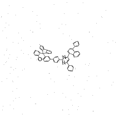 c1ccc(-c2cc(-c3ccc(-c4ccccc4)c4ccccc34)nc(-c3ccc(-c4ccc5c(c4)C4(c6ccccc6O5)c5ccccc5-c5ccccc54)cc3)n2)cc1